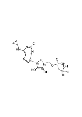 O=P(O)(O)CP(=O)(O)OC[C@H]1O[C@@H](n2cnc3c(NC4CC4)nc(Cl)nc32)[C@H](O)[C@@H]1O